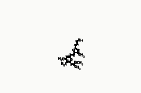 C=C1CC(CCCO)OC1CCC1C[C@@H](C)C(=C)[C@@H](C[C@@H](C)OC)O1